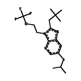 CC(C)Sc1cnc2c(c1)nc(CC(C)(C)C)n2CCOC(F)(F)F